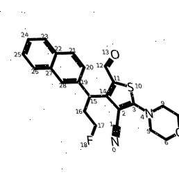 N#Cc1c(N2CCOCC2)sc(C=O)c1C(CCF)c1ccc2ccccc2c1